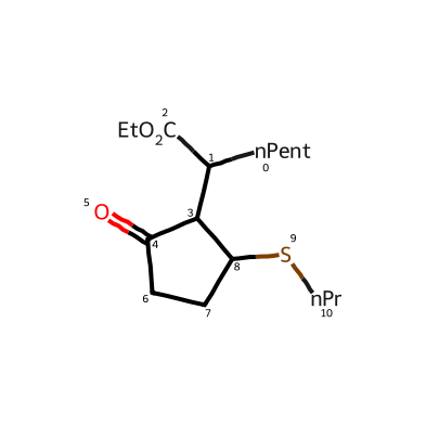 CCCCCC(C(=O)OCC)C1C(=O)CCC1SCCC